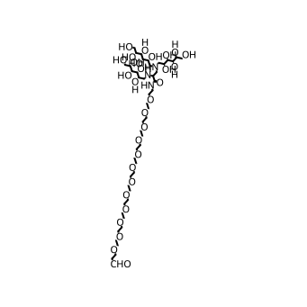 O=CCCOCCOCCOCCOCCOCCOCCOCCOCCOCCOCCOCCOCCNC(=O)C(CN(C[C@H](O)[C@@H](O)[C@H](O)[C@H](O)CO)C[C@H](O)[C@@H](O)[C@H](O)[C@H](O)CO)NC[C@H](O)[C@@H](O)[C@H](O)[C@H](O)CO